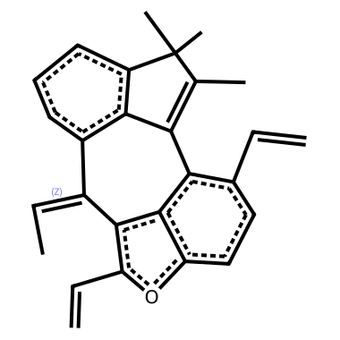 C=Cc1ccc2oc(C=C)c3c2c1C1=C(C)C(C)(C)c2cccc(c21)/C3=C/C